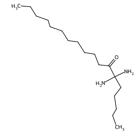 CCCCCCCCCCCC(=O)C(N)(N)CCCCC